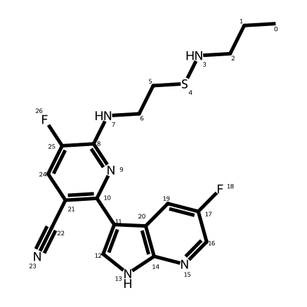 CCCNSCCNc1nc(-c2c[nH]c3ncc(F)cc23)c(C#N)cc1F